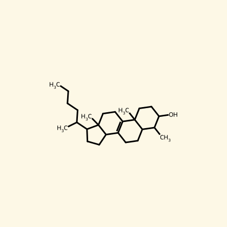 CCCCC(C)C1CCC2C3=C(CCC21C)C1(C)CCC(O)C(C)C1CC3